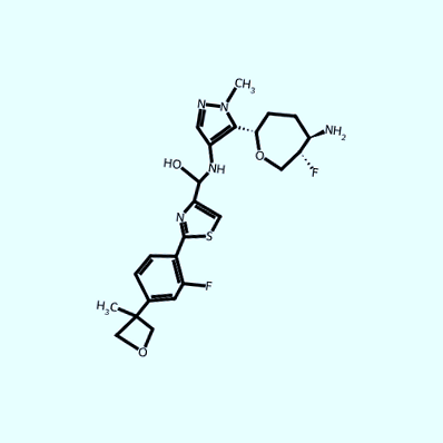 Cn1ncc(NC(O)c2csc(-c3ccc(C4(C)COC4)cc3F)n2)c1[C@@H]1CC[C@@H](N)[C@H](F)CO1